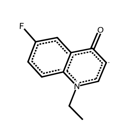 CCn1c[c]c(=O)c2cc(F)ccc21